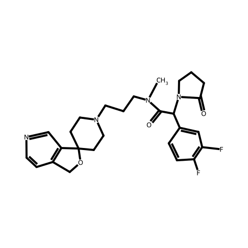 CN(CCCN1CCC2(CC1)OCc1ccncc12)C(=O)C(c1ccc(F)c(F)c1)N1CCCC1=O